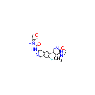 Cc1c(-c2cc3cc(NC(=O)N[C@H]4CCOC4)ncc3cc2F)cnc2c1NCCO2